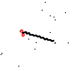 CCCCCCCCCCCCCCCC=CC([O])=O